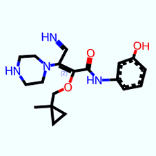 CC1(CO/C(C(=O)Nc2cccc(O)c2)=C(/C=N)N2CCNCC2)CC1